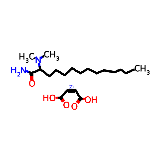 CCCCCCCCCCCCC(C(N)=O)N(C)C.O=C(O)/C=C\C(=O)O